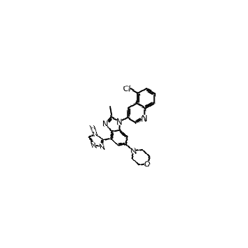 Cc1nc2c(-c3nnc[nH]3)cc(N3CCOCC3)cc2n1-c1cnc2cccc(Cl)c2c1